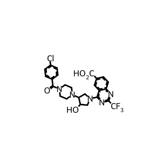 O=C(O)c1ccc2nc(C(F)(F)F)nc(N3CC(O)C(N4CCN(C(=O)c5ccc(Cl)cc5)CC4)C3)c2c1